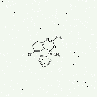 C[C@@]1(c2ccccc2)OC(N)=Nc2ccc(Cl)cc21